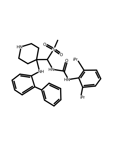 CC(C)c1cccc(C(C)C)c1NC(=O)NC(C1(Nc2ccccc2-c2ccccc2)CCNCC1)S(C)(=O)=O